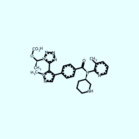 Cc1cccnc1N(C(=O)c1ccc(-c2cnn(C)c2-c2nnnn2[C@@H](C)OC(=O)O)cc1)[C@@H]1CCCNC1